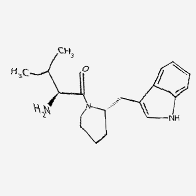 CC(C)[C@H](N)C(=O)N1CCC[C@H]1Cc1c[nH]c2ccccc12